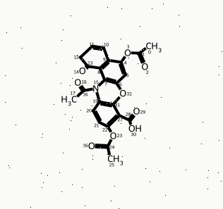 CC(=O)Oc1cc2c(c3c1C=CCC3=O)N(C(C)=O)c1ccc(OC(C)=O)c(C(=O)O)c1O2